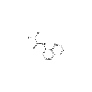 O=C(Nc1cccc2cccnc12)C(F)Br